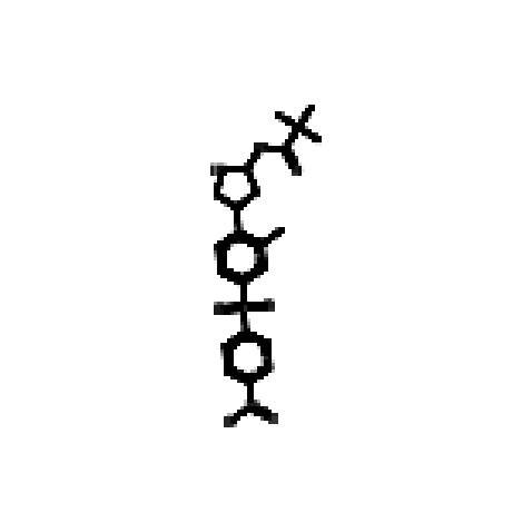 Cc1cc(S(=O)(=O)c2ccc([N+](=O)[O-])cc2)ccc1C1CNC(OC(=O)C(C)(C)C)C1